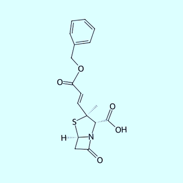 C[C@@]1(C=CC(=O)OCc2ccccc2)S[C@@H]2CC(=O)N2[C@H]1C(=O)O